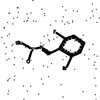 CC(C)(C)[S+]([O-])/N=C/c1c(F)cccc1Br